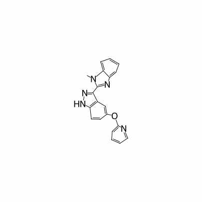 Cn1c(-c2n[nH]c3ccc(Oc4ccccn4)cc23)nc2ccccc21